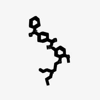 CCCN(CCC)CCOc1cc(NC(=O)c2ccc([S+]([O-])c3ccccc3)cc2)ccc1OC